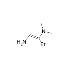 CC/C(=C\N)N(C)C